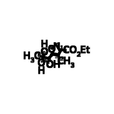 CCOC(=O)c1noc([C@H](O)C(C)(O)O)c1C